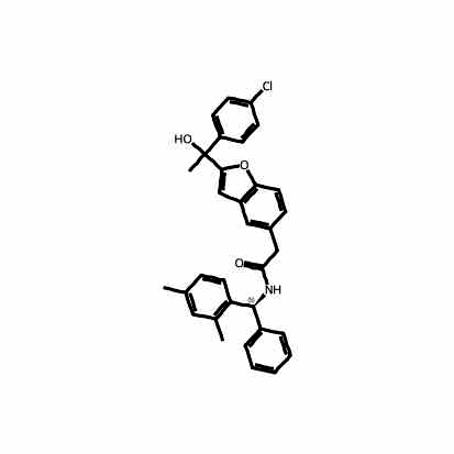 Cc1ccc([C@@H](NC(=O)Cc2ccc3oc(C(C)(O)c4ccc(Cl)cc4)cc3c2)c2ccccc2)c(C)c1